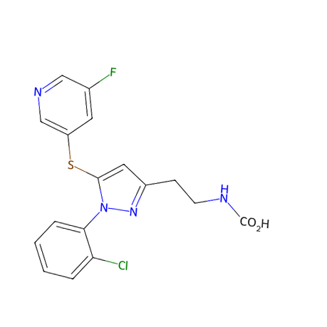 O=C(O)NCCc1cc(Sc2cncc(F)c2)n(-c2ccccc2Cl)n1